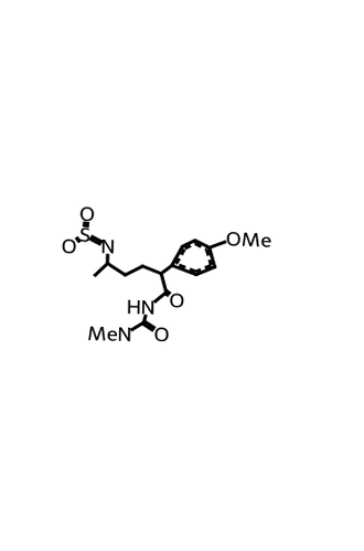 CNC(=O)NC(=O)C(CCC(C)N=S(=O)=O)c1ccc(OC)cc1